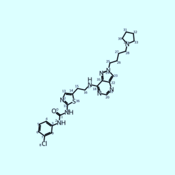 O=C(Nc1cccc(Cl)c1)Nc1ncc(CCNc2ncnc3cn(CCCCN4CCCC4)nc23)s1